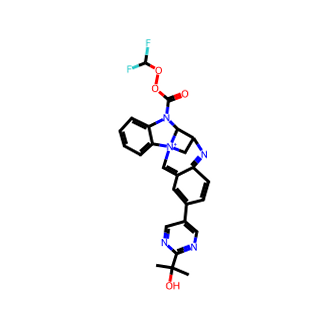 CC(C)(O)c1ncc(-c2ccc3c(c2)=C[N+]24CC(N=3)C2N(C(=O)OOC(F)F)c2ccccc24)cn1